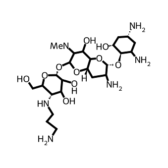 CNC1C(O[C@H]2OC(CO)[C@@H](NCCCN)C(O)C2O)O[C@H]2CC(N)[C@@H](O[C@@H]3C(N)C[C@@H](N)C[C@H]3O)OC2C1O